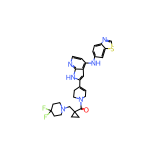 O=C(N1CC=C(c2cc3c(Nc4ccc5ncsc5c4)ccnc3[nH]2)CC1)C1(CN2CCC(F)(F)CC2)CC1